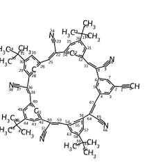 C#Cc1cc2cc(c1)/C(C#N)=C/c1cc(cc(C(C)(C)C)c1)/C(C#N)=C/c1cc(cc(C(C)(C)C)c1)/C(C#N)=C/c1cc(cc(C(C)(C)C)c1)/C(C#N)=C/c1cc(cc(C(C)(C)C)c1)/C(C#N)=C/2